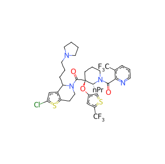 CCC[C@H]1N(C(=O)c2ncccc2C(F)(F)F)CCC[C@@]1(Oc1csc(C(F)(F)F)c1)C(=O)N1CCc2sc(Cl)cc2C1CCCN1CCCC1